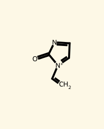 C=C[N+]1=CC=NC1=O